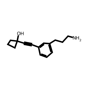 NCCCc1cccc(C#CC2(O)CCC2)c1